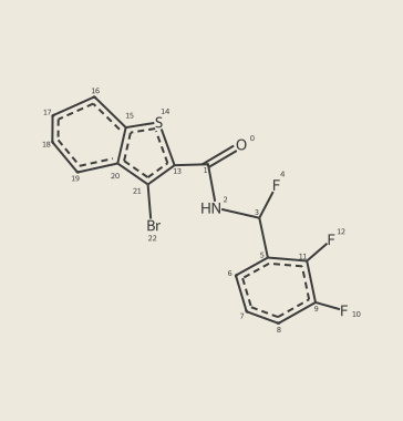 O=C(NC(F)c1cccc(F)c1F)c1sc2ccccc2c1Br